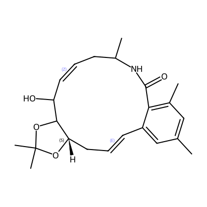 Cc1cc(C)c2c(c1)/C=C/C[C@@H]1OC(C)(C)OC1C(O)/C=C\CC(C)NC2=O